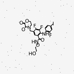 O=C1OCCN(Cc2cc(C(=O)NOCCO)c(Nc3ccc(I)cc3F)c(F)c2F)C1=O